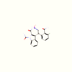 NC(=O)c1c(Cl)cccc1[C](CCO)c1c(C(N)=O)n(C(N)=O)c2ccccc12